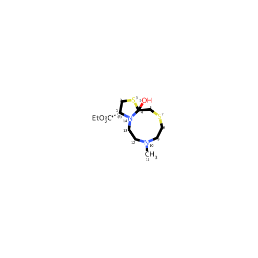 CCOC(=O)[C@@H]1CSC2(O)CSCCN(C)CCN12